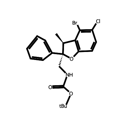 C[C@H]1c2c(ccc(Cl)c2Br)O[C@@]1(CNC(=O)OC(C)(C)C)c1ccccc1